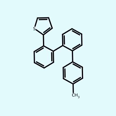 Cc1ccc(-c2ccccc2-c2ccccc2-c2cccs2)cc1